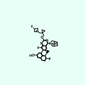 C#Cc1c(F)ccc2cc(O)cc(-c3c(C(C)C)cc4c(N5CC6CCC(C5)N6)nc(OCC5(CN6CC(F)C6)CC5)nc4c3F)c12